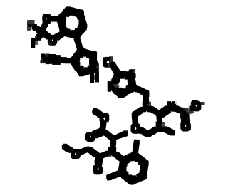 CN1COCN(Cc2cnc(Cl)s2)/C1=N/[N+](=O)[O-].COCC(=O)N(c1c(C)cccc1C)[C@H](C)C(=O)OC.N#Cc1c[nH]cc1-c1cccc2c1OC(F)(F)O2